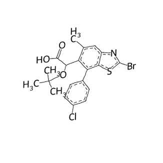 Cc1cc2nc(Br)sc2c(-c2ccc(Cl)cc2)c1C(OC(C)(C)C)C(=O)O